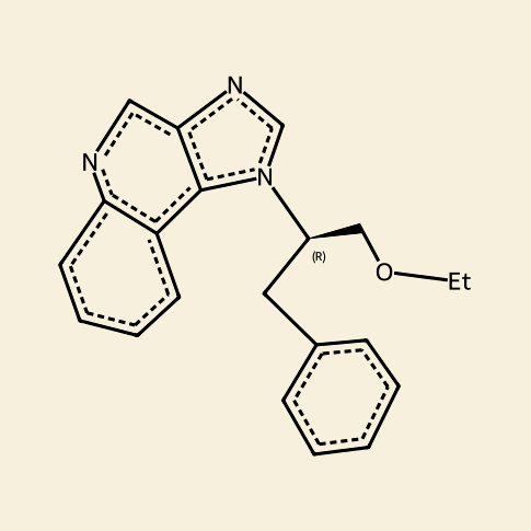 CCOC[C@@H](Cc1ccccc1)n1cnc2cnc3ccccc3c21